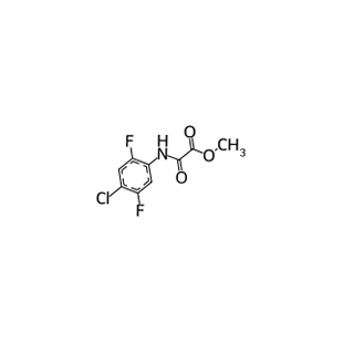 COC(=O)C(=O)Nc1cc(F)c(Cl)cc1F